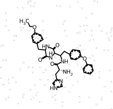 CCOc1ccc(CC2NC(=O)C(C(Cc3ccc(Oc4ccccc4)cc3)NC(=O)[C@H](N)Cc3c[nH]cn3)NC2=O)cc1